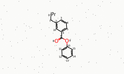 CC(C)Cc1cccc(C(=O)Oc2ccccc2)c1